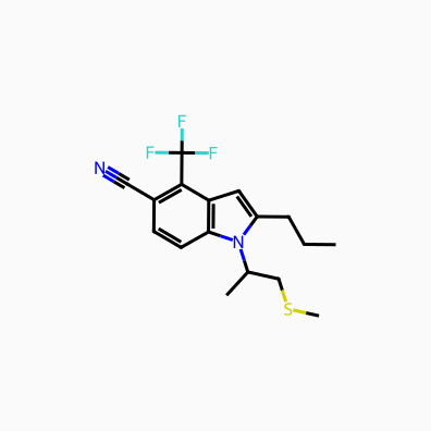 CCCc1cc2c(C(F)(F)F)c(C#N)ccc2n1C(C)CSC